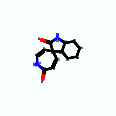 O=C1C=CC2(C=CN1)C(=O)NC1CCCCC12